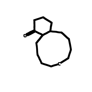 O=C1CCCC2CCCCCCCCCC12